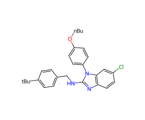 CCCCOc1ccc(-n2c(NCc3ccc(C(C)(C)C)cc3)nc3ccc(Cl)cc32)cc1